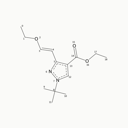 CCOC=Cc1nn(C(C)(C)C)cc1C(=O)OCC